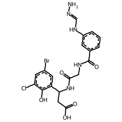 NN=CNc1cccc(C(=O)NCC(=O)NC(CC(=O)O)c2cc(Br)cc(Cl)c2O)c1